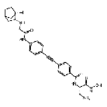 NC[C@H](NC(=O)c1ccc(C#Cc2ccc(NC(=O)CN[C@@H]3CC4CC[C@@H]3C4)cc2)cc1)C(=O)NO